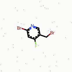 Fc1cc(Br)ncc1CBr